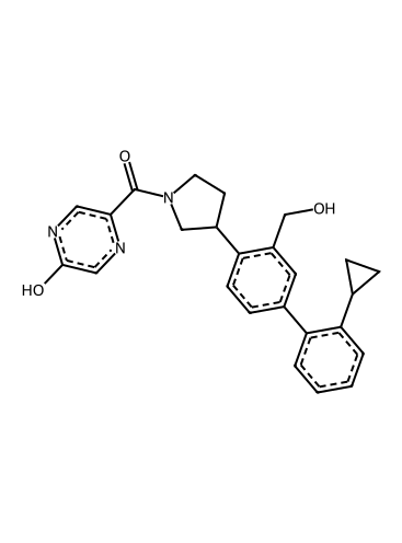 O=C(c1cnc(O)cn1)N1CCC(c2ccc(-c3ccccc3C3CC3)cc2CO)C1